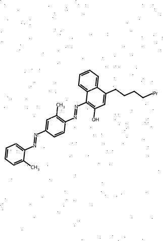 Cc1ccccc1/N=N/c1ccc(/N=N/c2c(O)cc(CCCCC(C)C)c3ccccc23)c(C)c1